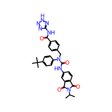 CC(C)N1C(=O)c2ccc(NC(=O)N(Cc3ccc(C(=O)Nc4nn[nH]n4)cc3)c3ccc(C(C)(C)C)cc3)cc2C1=O